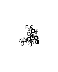 CN(C)C(=O)c1cn2c3c(c(NC(=O)c4cc(F)cc(C(F)(F)F)c4)cc2n1)C(c1cc(F)ccc1Cl)NC3=O